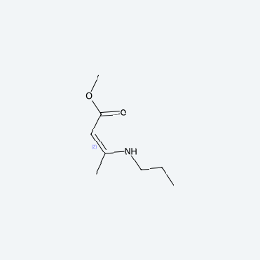 CCCN/C(C)=C\C(=O)OC